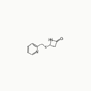 O=C1CC(SCc2ccccn2)N1